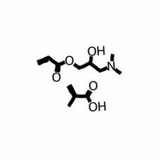 C=C(C)C(=O)O.C=CC(=O)OCC(O)CN(C)C